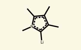 [Li][c]1c(C)c(C)c(C)n1C